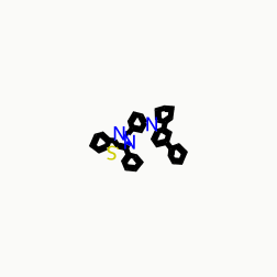 c1ccc(-c2ccc3c(c2)c2ccccc2n3-c2cccc(-c3nc(-c4ccccc4)c4sc5ccccc5c4n3)c2)cc1